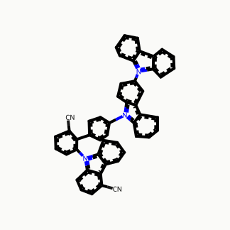 N#Cc1cccc(-n2c3ccccc3c3c(C#N)cccc32)c1-c1ccc(-n2c3ccccc3c3cc(-n4c5ccccc5c5ccccc54)ccc32)cc1